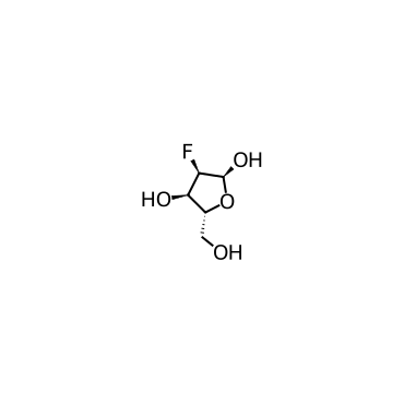 OC[C@H]1O[C@H](O)[C@H](F)[C@@H]1O